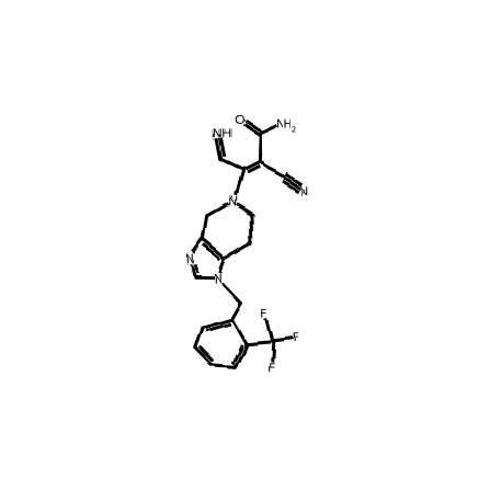 N#C/C(C(N)=O)=C(/C=N)N1CCc2c(ncn2Cc2ccccc2C(F)(F)F)C1